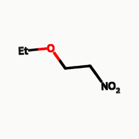 CCOCC[N+](=O)[O-]